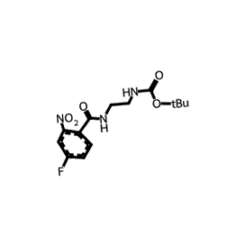 CC(C)(C)OC(=O)NCCNC(=O)c1ccc(F)cc1[N+](=O)[O-]